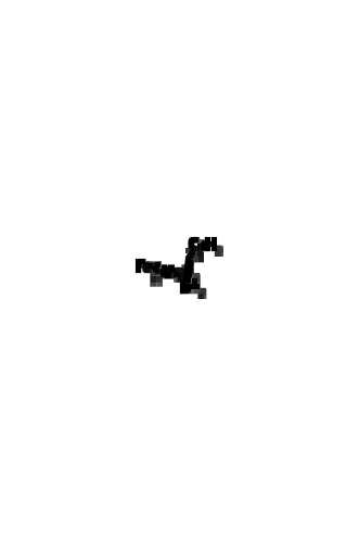 [BH2][Zn].[CaH2].[Fe].[KH].[MgH2]